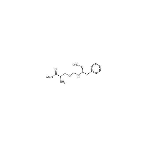 COC(=O)C(N)COCNC(Cc1ccccc1)OC=O